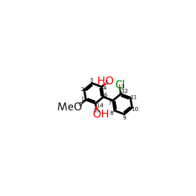 COc1ccc(O)c(-c2ccccc2Cl)c1O